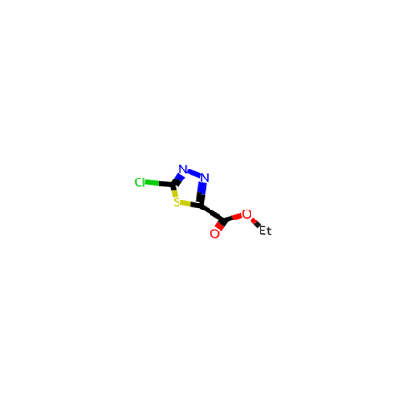 CCOC(=O)c1nnc(Cl)s1